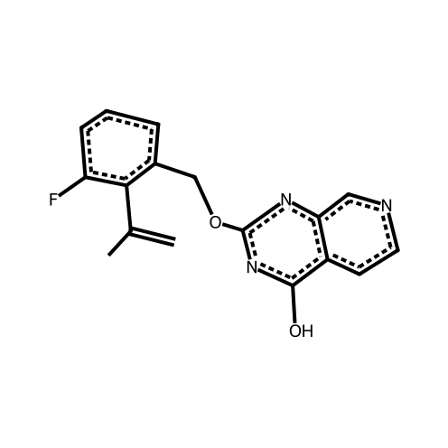 C=C(C)c1c(F)cccc1COc1nc(O)c2ccncc2n1